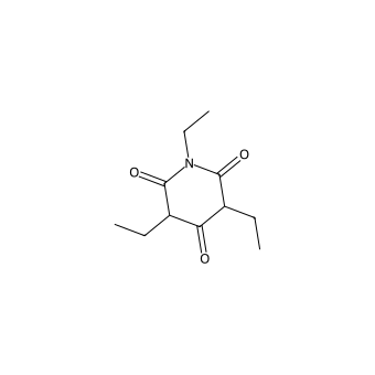 CCC1C(=O)C(CC)C(=O)N(CC)C1=O